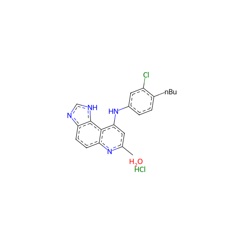 CCCCc1ccc(Nc2cc(C)nc3ccc4nc[nH]c4c23)cc1Cl.Cl.O